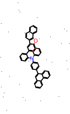 c1ccc(N(c2ccc(-c3cc4ccccc4c4ccccc34)cc2)c2ccccc2-c2ccc3oc4c5ccccc5ccc4c3c2)cc1